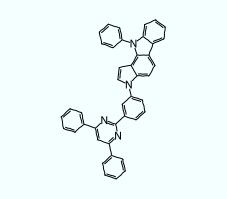 c1ccc(-c2cc(-c3ccccc3)nc(-c3cccc(-n4ccc5c4ccc4c6ccccc6n(-c6ccccc6)c45)c3)n2)cc1